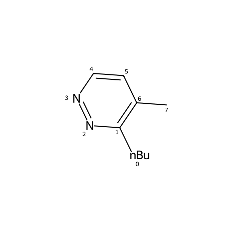 C[CH]CCc1nnccc1C